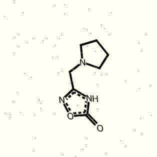 O=c1[nH]c(CN2CCCC2)no1